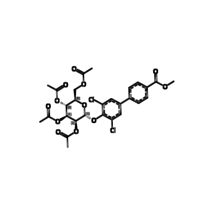 COC(=O)c1ccc(-c2cc(Cl)c(O[C@H]3O[C@H](COC(C)=O)[C@@H](OC(C)=O)[C@H](OC(C)=O)[C@@H]3OC(C)=O)c(Cl)c2)cc1